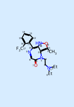 CCN(CC)CCN1C(=O)C=NC(c2ccccc2C(F)(F)F)=C2NOC(C)=C21